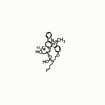 COc1ccc(OCCN(CCCF)C(=O)O)cc1[C@@H]1c2[nH]c3ccccc3c2C[C@@H](C)N1CC(F)(F)CO